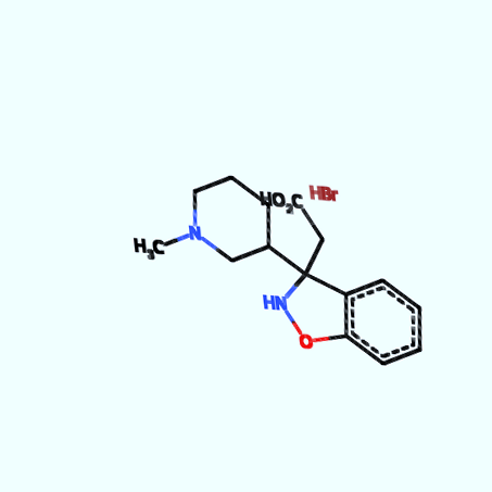 Br.CN1CCCC(C2(CC(=O)O)NOc3ccccc32)C1